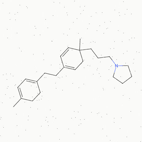 CC1=CC=C(CCC2=CCC(C)(CCCN3CCCC3)C=C2)CC1